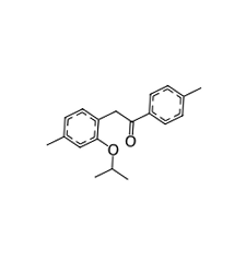 Cc1ccc(C(=O)Cc2ccc(C)cc2OC(C)C)cc1